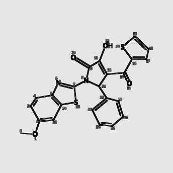 COc1ccc2nc(N3C(=O)C(O)=C(C(=O)c4cccs4)C3c3ccccc3)sc2c1